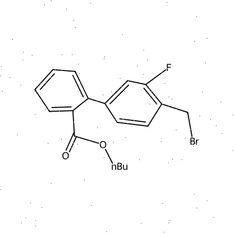 CCCCOC(=O)c1ccccc1-c1ccc(CBr)c(F)c1